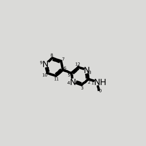 CNc1cnc(-c2ccncc2)cn1